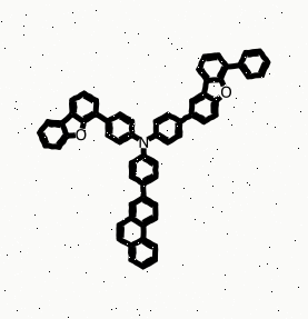 c1ccc(-c2cccc3c2oc2ccc(-c4ccc(N(c5ccc(-c6ccc7c(ccc8ccccc87)c6)cc5)c5ccc(-c6cccc7c6oc6ccccc67)cc5)cc4)cc23)cc1